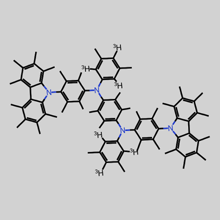 [3H]c1c(C)c([3H])c(N(c2c(C)c(C)c(N(c3c([3H])c(C)c([3H])c(C)c3[3H])c3c(C)c(C)c(-n4c5c(C)c(C)c(C)c(C)c5c5c(C)c(C)c(C)c(C)c54)c(C)c3C)c(C)c2C)c2c(C)c(C)c(-n3c4c(C)c(C)c(C)c(C)c4c4c(C)c(C)c(C)c(C)c43)c(C)c2C)c([3H])c1C